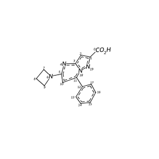 O=C(O)c1cc2nc(N3CCC3)cc(-c3ccccc3)n2n1